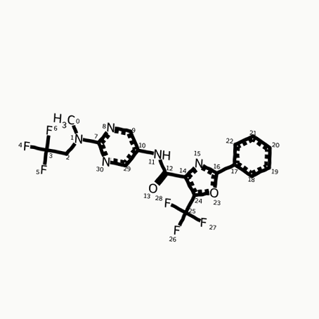 CN(CC(F)(F)F)c1ncc(NC(=O)c2nc(-c3ccccc3)oc2C(F)(F)F)cn1